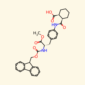 COC(=O)[C@H](Cc1ccc(NC(=O)[C@@H]2CCCC[C@@H]2C(=O)O)cc1)NC(=O)OCC1c2ccccc2-c2ccccc21